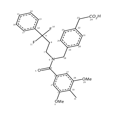 COc1cc(C(=O)N(CCC(F)(F)c2ccccc2)Cc2ccc(CC(=O)O)cc2)cc(OC)c1C